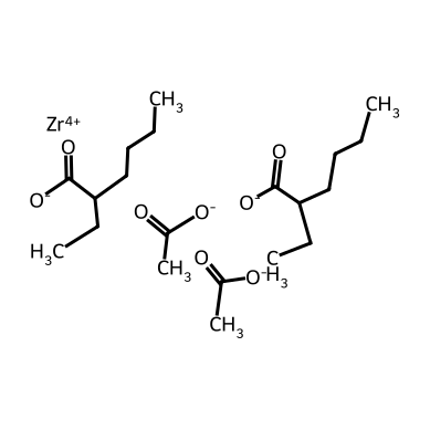 CC(=O)[O-].CC(=O)[O-].CCCCC(CC)C(=O)[O-].CCCCC(CC)C(=O)[O-].[Zr+4]